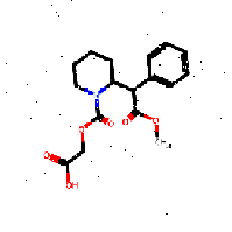 COC(=O)C(c1ccccc1)C1CCCCN1C(=O)OCC(=O)O